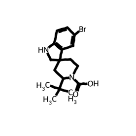 CC(C)(C)C1CC2(CCN1C(=O)O)CNc1ccc(Br)cc12